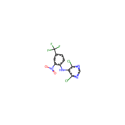 O=[N+]([O-])c1cc(C(F)(F)F)ccc1Nc1c(Cl)ncnc1Cl